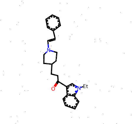 CCn1cc(C(=O)CCC2CCN(C=Cc3ccccc3)CC2)c2ccccc21